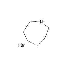 Br.C1CCCNCC1